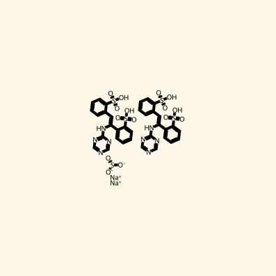 O=S(=O)(O)c1ccccc1C=C(Nc1ncncn1)c1ccccc1S(=O)(=O)O.O=S(=O)(O)c1ccccc1C=C(Nc1ncncn1)c1ccccc1S(=O)(=O)O.O=S([O-])[O-].[Na+].[Na+]